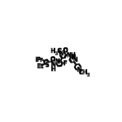 CCc1sc(C(=O)Nc2ccc(F)c(-c3cc(Nc4ccc(C5CCN(C)CC5)nn4)c(=O)n(C)c3)n2)cc1C(C)C